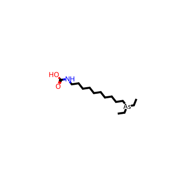 CC[As](CC)CCCCCCCCCCNC(=O)O